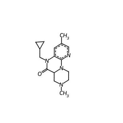 Cc1cnc2c(c1)N(CC1CC1)C(=O)C1CN(C)CCN21